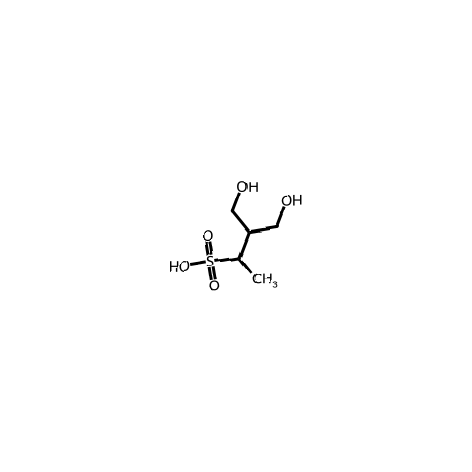 CC(C(CO)CO)S(=O)(=O)O